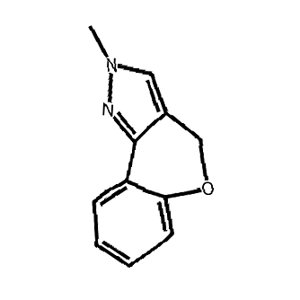 Cn1cc2c(n1)-c1ccccc1OC2